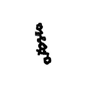 CC1(C)CN(Cc2ccccc2)c2ccc(OC(=O)NCC3CCOC3)cc21